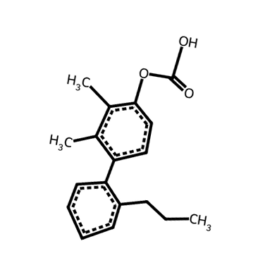 CCCc1ccccc1-c1ccc(OC(=O)O)c(C)c1C